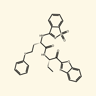 CC[C@H](NC(=O)[C@H](CCSc1ccccc1)NC1=NS(=O)(=O)c2ccccc21)C(=O)c1nc2ccccc2o1